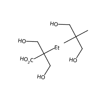 CC(C)(CO)CO.CCC(CO)(CO)C(=O)O